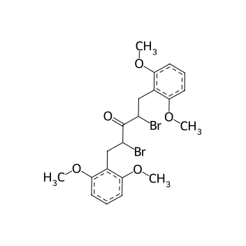 COc1cccc(OC)c1CC(Br)C(=O)C(Br)Cc1c(OC)cccc1OC